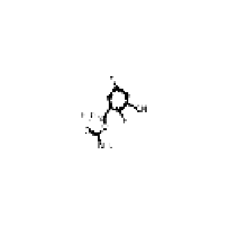 C[C@@H](OC(N)=O)c1cc(F)cc(C#N)c1F